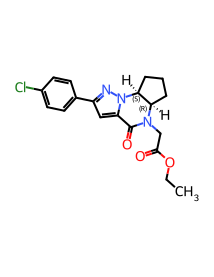 CCOC(=O)CN1C(=O)c2cc(-c3ccc(Cl)cc3)nn2[C@H]2CCC[C@H]21